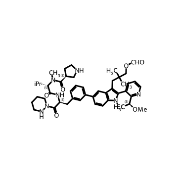 CCn1c(-c2cccnc2[C@H](C)OC)c(CC(C)(C)COC=O)c2cc(-c3cccc(C[C@H](NC(=O)[C@H](C(C)C)N(C)C(=O)[C@H]4CCNC4)C(=O)N4CCCCN4)c3)ccc21